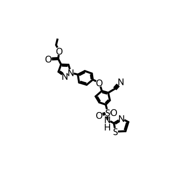 CCOC(=O)c1cnn(-c2ccc(Oc3ccc(S(=O)(=O)Nc4nccs4)cc3C#N)cc2)c1